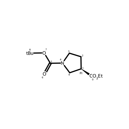 CCOC(=O)[C@@H]1CCN(C(=O)OC(C)(C)C)C1